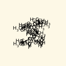 CC(=O)[C@@H](CC(=O)OC(C)(C)C)NC(=O)Cc1cc(C)cc(OP(=O)(OC(C)C)OC(C)C)c1C(C)(C)CC(=O)N(c1nn(CC(F)(F)F)c2c(-c3ccc(C#CC(C)(C)S(C)(=O)=O)nc3[C@H](Cc3cc(F)cc(F)c3)NC(=O)Cn3nc(C(F)(F)F)c4c3C(F)(F)[C@@H]3C[C@H]43)ccc(Cl)c12)S(C)(=O)=O